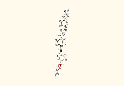 C=CCCOCc1ccc(C#Cc2ccc(C/C=C/C[C@H]3CC[C@H](C/C=C/C)CC3)cc2)cc1